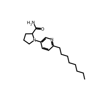 CCCCCCCCc1ccc(N2CCCC2C(N)=O)cn1